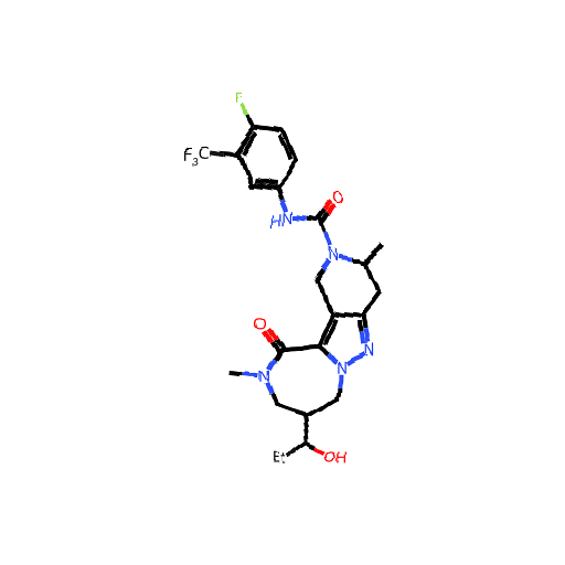 CCC(O)C1CN(C)C(=O)c2c3c(nn2C1)CC(C)N(C(=O)Nc1ccc(F)c(C(F)(F)F)c1)C3